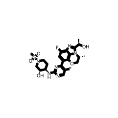 C[C@@H]1COc2c(-c3nc(N[C@@H]4CCN(S(C)(=O)=O)C[C@H]4O)ncc3F)cc(F)c3nc([C@@H](C)O)n1c23